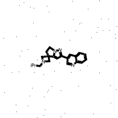 CC(C)CN1CC2(CCn3nc(-c4cnc5ccccc5c4)cc32)C1